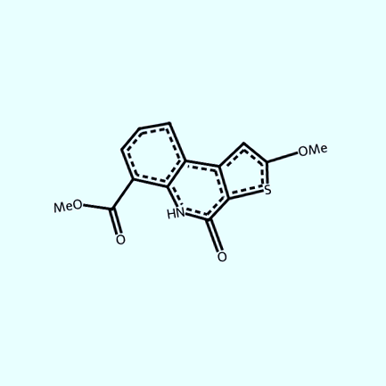 COC(=O)c1cccc2c1[nH]c(=O)c1sc(OC)cc12